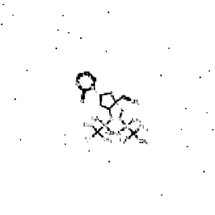 C=C[C@]1(CO[Si](C)(C)C(C)(C)C)O[C@@H](n2cccnc2=O)C[C@@H]1O[Si](C)(C)C(C)(C)C